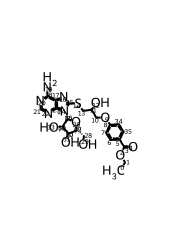 CCOC(=O)c1ccc(OCC(O)CSc2nc3c(N)ncnc3n2[C@@H]2O[C@H](CO)[C@@H](O)[C@H]2O)cc1